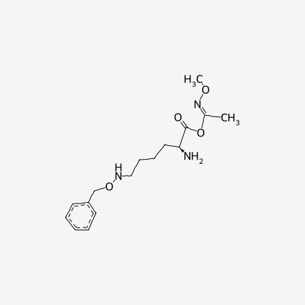 CON=C(C)OC(=O)[C@@H](N)CCCCNOCc1ccccc1